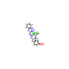 C[C@H]1CN(CC(N)Cc2ccccc2)CC[C@]1(C)c1cccc(O)c1.Cl.Cl